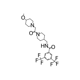 COC1CCN(CC(=O)N2CCC(CNC(=O)c3cc(C(F)(F)F)cc(C(F)(F)F)c3)CC2)CC1